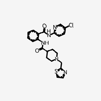 O=C(Nc1ccc(Cl)cn1)c1ccccc1NC(=O)C1CCN(Cc2nccs2)CC1